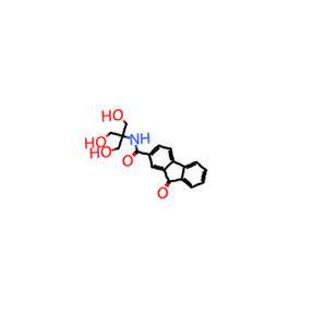 O=C(NC(CO)(CO)CO)c1ccc2c(c1)C(=O)c1ccccc1-2